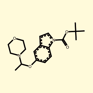 CC(Oc1ccc2c(ccn2C(=O)OC(C)(C)C)c1)N1CCOCC1